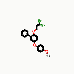 CC(C)Oc1ccc(Oc2ccc(OCC=C(Br)Br)c(-c3ccccc3)c2)cc1